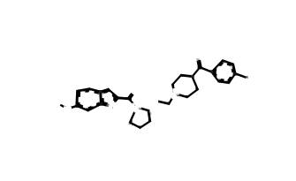 C[C@H]1CC[C@@H](CCN2CCC(C(=O)c3ccc(F)cc3)CC2)N1C(=O)c1cc2ccc(SC(F)(F)F)cc2[nH]1